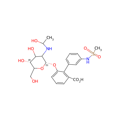 CC(O)NC1C(O)[C@@H](O)C(CO)O[C@H]1Oc1cccc(C(=O)O)c1-c1cccc(NS(C)(=O)=O)c1